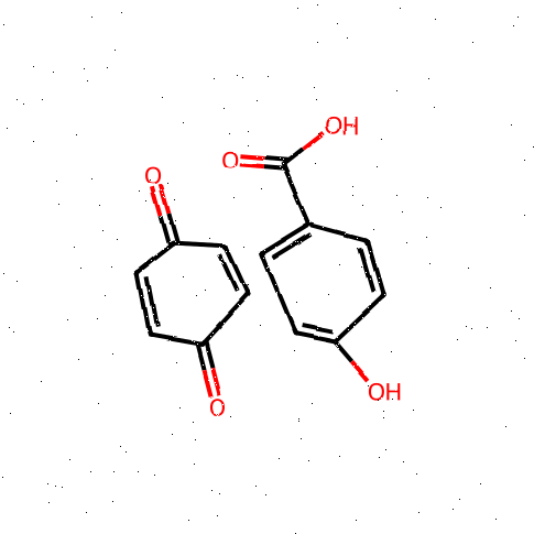 O=C(O)c1ccc(O)cc1.O=C1C=CC(=O)C=C1